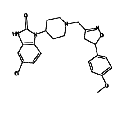 COc1ccc(C2CC(CN3CCC(n4c(=O)[nH]c5cc(Cl)ccc54)CC3)=NO2)cc1